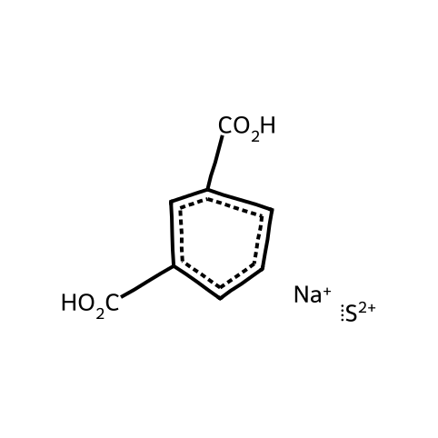 O=C(O)c1cccc(C(=O)O)c1.[Na+].[S+2]